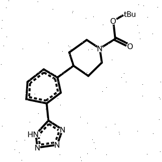 CC(C)(C)OC(=O)N1CCC(c2cccc(-c3nnn[nH]3)c2)CC1